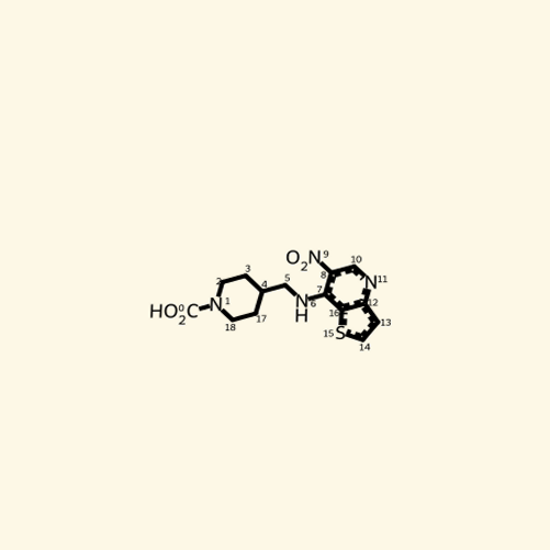 O=C(O)N1CCC(CNc2c([N+](=O)[O-])cnc3ccsc23)CC1